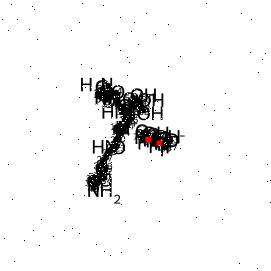 NC[C@@H](C(=O)NCCC(=O)Nc1cc(C[n+]2cccc(/C=C/C(=O)NCCCCC3CCN(C(=O)c4cccc(N)c4)CC3)c2)ccc1O[C@H]1O[C@H](CO)[C@@H](O)[C@H](O)[C@@H]1O)N1C(=O)C=CC1=O.O=C(O)C(F)(F)F.O=C(O)C(F)(F)F.O=C([O-])C(F)(F)F